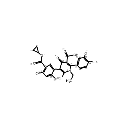 CCn1c(C)c(-c2cc(C(=O)OC3CC3)c(Cl)cc2F)c(=O)c(C(=O)O)c1-c1ccc(Cl)c(Cl)c1